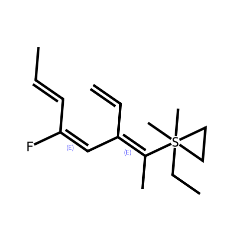 C=CC(/C=C(/F)C=CC)=C(/C)S1(C)(C)(CC)CC1